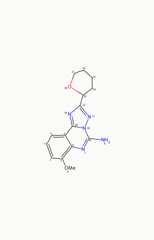 COc1cccc2c1nc(N)n1nc(C3CCCCO3)nc21